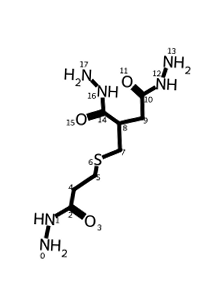 NNC(=O)CCSCC(CC(=O)NN)C(=O)NN